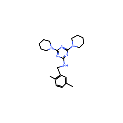 Cc1ccc(C)c(CNc2nc(N3CCCCC3)nc(N3CCCCC3)n2)c1